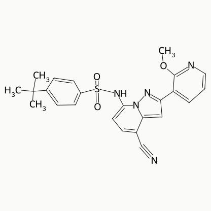 COc1ncccc1-c1cc2c(C#N)ccc(NS(=O)(=O)c3ccc(C(C)(C)C)cc3)n2n1